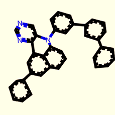 c1ccc(-c2cccc(-c3cccc(N4c5cncnc5-c5cc(-c6ccccc6)cc6cccc4c56)c3)c2)cc1